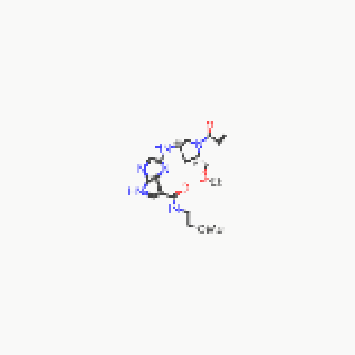 C=CC(=O)N1C[C@H](Nc2cnc3[nH]cc(C(=O)NCCOC)c3n2)C[C@H]1COCC